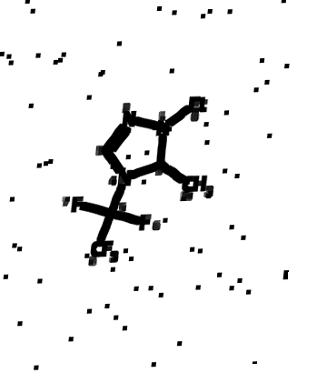 CCN1N=CN(C(F)(F)C(F)(F)F)C1C